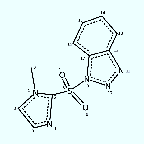 Cn1ccnc1S(=O)(=O)n1nnc2ccccc21